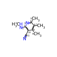 CNc1nc(C)c(C)c(C)c1C#N